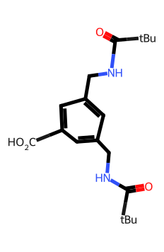 CC(C)(C)C(=O)NCc1cc(CNC(=O)C(C)(C)C)cc(C(=O)O)c1